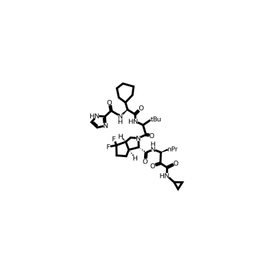 CCC[C@H](NC(=O)[C@@H]1[C@H]2CCC(F)(F)[C@H]2CN1C(=O)C(NC(=O)[C@@H](NC(=O)c1ncc[nH]1)C1CCCCC1)C(C)(C)C)C(=O)C(=O)NC1CC1